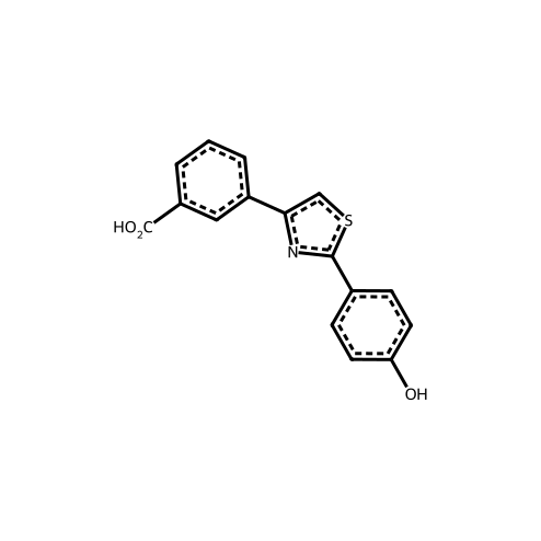 O=C(O)c1cccc(-c2csc(-c3ccc(O)cc3)n2)c1